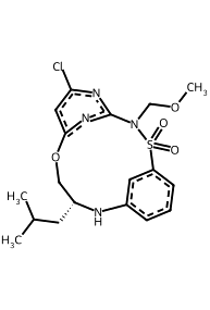 COCN1c2nc(Cl)cc(n2)OC[C@@H](CC(C)C)Nc2cccc(c2)S1(=O)=O